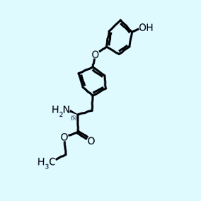 CCOC(=O)[C@@H](N)Cc1ccc(Oc2ccc(O)cc2)cc1